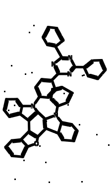 c1ccc(-c2nc(-c3ccccc3)nc(-c3ccc(-n4c5ccccc5c5c6c7ccccc7oc6c6c7ccccc7n(-c7ccccc7)c6c54)cc3)n2)cc1